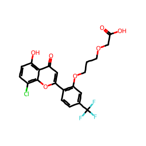 O=C(O)COCCCOc1cc(C(F)(F)F)ccc1-c1cc(=O)c2c(O)ccc(Cl)c2o1